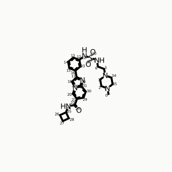 CN1CCN(CCNS(=O)(=O)Nc2cccc(-c3cn4cc(C(=O)NC5CCC5)ccc4n3)c2)CC1